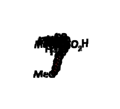 CC[C@H](C)[C@@H]([C@@H](CC(=O)N1CCC[C@H]1[C@H](OC)[C@@H](C)C(=O)N[C@@H](Cc1ccccc1)C(=O)NCCCOC(=O)[C@H](C)NC(=O)CC[C@H](NC(=O)CCNC(=O)OCCC(=O)NCCOCCOCCOCCOCCOCCOCCOCCOC)C(=O)O)OC)N(C)C(=O)[C@@H](NC(=O)[C@H](C(C)C)N(C)C)C(C)C